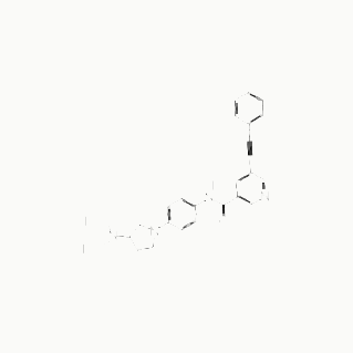 CN(C)C1CCN(c2ccc(NC(=O)c3cncc(C#Cc4ccccc4)c3)cc2)C1